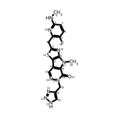 CNc1ccc(F)c(Cc2nc3c(s2)c2cnn(Cc4c[nH]nn4)c(=O)c2n3C)n1